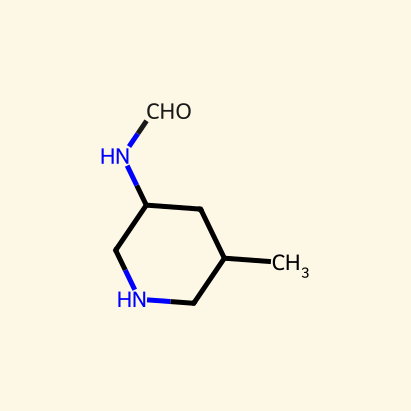 CC1CNCC(NC=O)C1